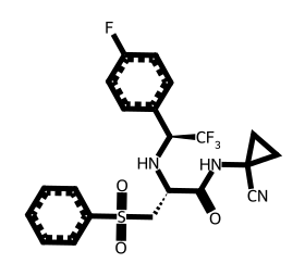 N#CC1(NC(=O)[C@H](CS(=O)(=O)c2ccccc2)N[C@@H](c2ccc(F)cc2)C(F)(F)F)CC1